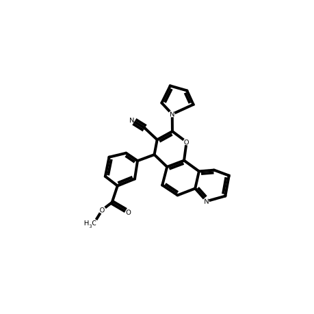 COC(=O)c1cccc(C2C(C#N)=C(n3cccc3)Oc3c2ccc2ncccc32)c1